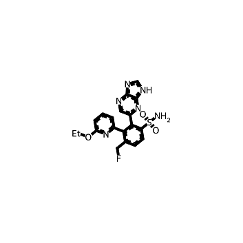 CCOc1cccc(-c2c(CF)ccc(S(N)(=O)=O)c2-c2cnc3nc[nH]c3n2)n1